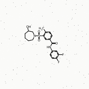 Cc1ccc(C(=O)Nc2ccc(F)c(F)c2)cc1S(=O)(=O)N1CCCCC(O)C1